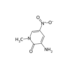 Cn1cc([N+](=O)[O-])cc(N)c1=O